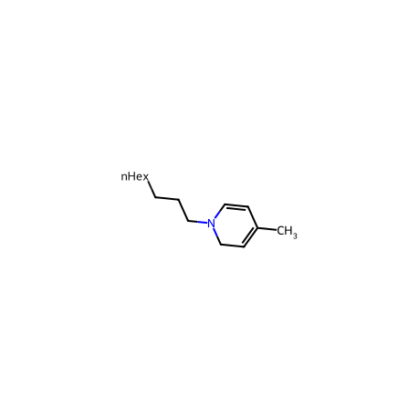 CCCCCCCCCN1C=CC(C)=CC1